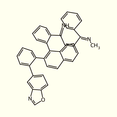 C/N=C(\C=C/C(=N)c1ccccc1-c1c(-c2ccccc2-c2ccc3ocnc3c2)ccc2ccccc12)c1ccccc1